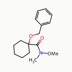 CON(C)C(=O)C1(OCc2ccccc2)CCCCC1